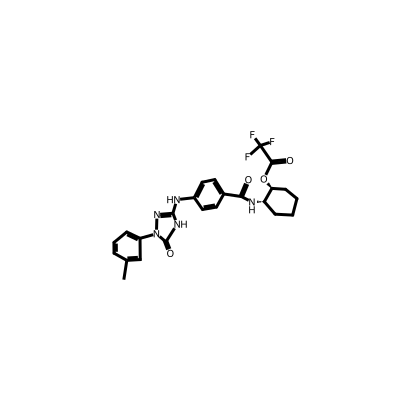 Cc1cccc(-n2nc(Nc3ccc(C(=O)N[C@H]4CCCC[C@@H]4OC(=O)C(F)(F)F)cc3)[nH]c2=O)c1